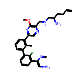 C=CCCC(N)CNCc1ncc(-c2cccc(-c3cccc(/C(=C/N)N=C)c3Cl)c2C)nc1OC